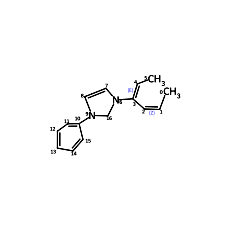 C/C=C\C(=C/C)N1C=CN(c2ccccc2)C1